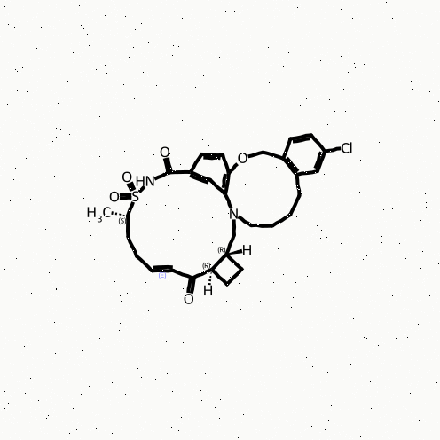 C[C@H]1CC/C=C/C(=O)[C@@H]2CC[C@H]2CN2CCCCc3cc(Cl)ccc3COc3ccc(cc32)C(=O)NS1(=O)=O